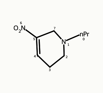 CCCN1CC[C]=C([N+](=O)[O-])C1